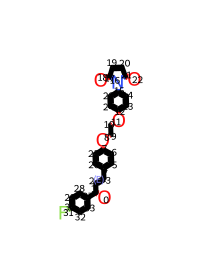 O=C(/C=C/c1ccc(OCCOc2ccc(N3C(=O)C=CC3=O)cc2)cc1)c1ccc(F)cc1